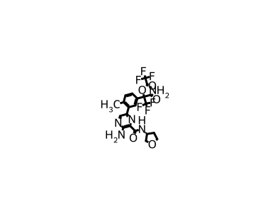 Cc1ccc(C(OC(=O)C(F)(F)F)(C(N)=O)C(F)(F)F)cc1-c1cnc(N)c(C(=O)N[C@H]2CCOC2)n1